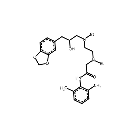 CCN(CCN(CC)CC(O)Cc1ccc2c(c1)OCO2)CC(=O)Nc1c(C)cccc1C